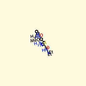 CCN(CC)CCNC(=O)C=Cc1cnc(N)c2c(-c3ccc(NC(=O)c4cc5ccccc5n4C)c(OC)c3)csc12